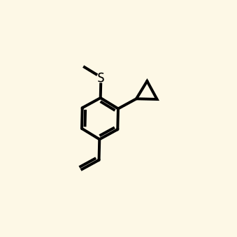 C=Cc1ccc(SC)c(C2CC2)c1